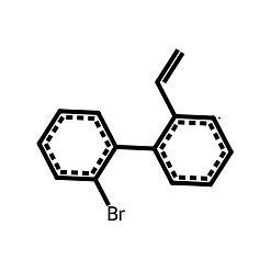 C=Cc1[c]cccc1-c1ccccc1Br